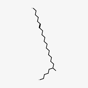 [CH2]CCCCC=CCCCCCCCCCCCC(C)CCCC[CH2]